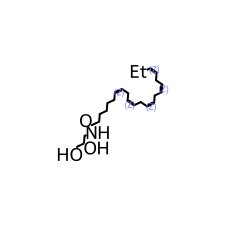 CC/C=C\C/C=C\C/C=C\C/C=C\C/C=C\CCCCCC(=O)NCC(O)CO